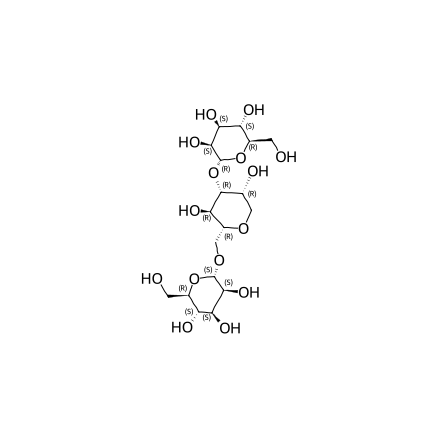 OC[C@H]1O[C@H](OC[C@H]2OC[C@@H](O)[C@@H](O[C@H]3O[C@H](CO)[C@@H](O)[C@H](O)[C@@H]3O)[C@@H]2O)[C@@H](O)[C@@H](O)[C@@H]1O